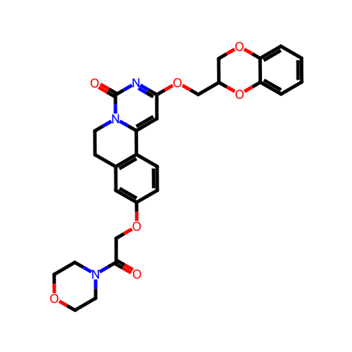 O=C(COc1ccc2c(c1)CCn1c-2cc(OCC2COc3ccccc3O2)nc1=O)N1CCOCC1